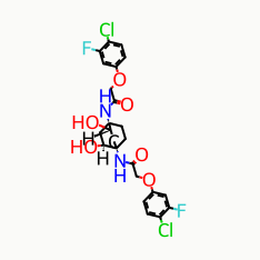 O=C(COc1ccc(Cl)c(F)c1)N[C@]12CC[C@](NC(=O)COc3ccc(Cl)c(F)c3)(C[C@@H]1O)[C@@H](O)C2